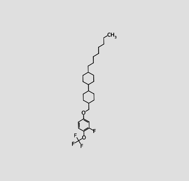 CCCCCCCCC1CCC(C2CCC(COc3ccc(OC(F)(F)F)c(F)c3)CC2)CC1